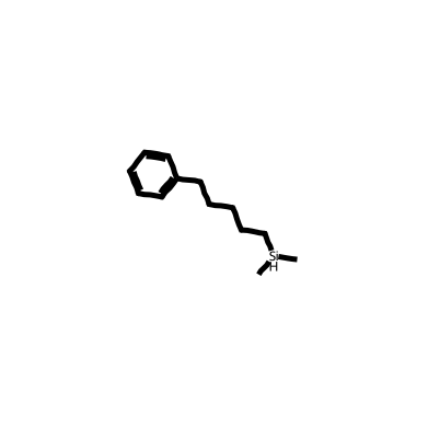 C[SiH](C)CCCCCc1ccccc1